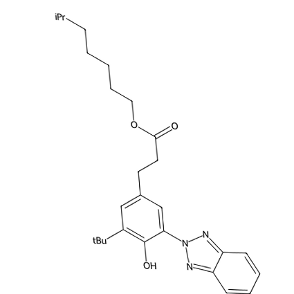 CC(C)CCCCCOC(=O)CCc1cc(-n2nc3ccccc3n2)c(O)c(C(C)(C)C)c1